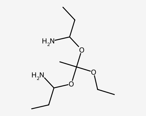 CCOC(C)(OC(N)CC)OC(N)CC